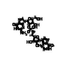 Nc1nc2c(ncn2[C@@H]2O[C@H](CO)[C@H](O)C2OP(=O)(O)OC[C@H]2O[C@@H](c3cnn4c(=O)[nH]cnc34)C(O)[C@H]2O)c(=O)[nH]1